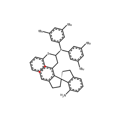 CC(C)(C)c1cc(P(c2cc(C(C)(C)C)cc(C(C)(C)C)c2)C(Cc2cccc3c2[C@]2(CCc4cccc(N)c42)CC3)Sc2ccccc2)cc(C(C)(C)C)c1